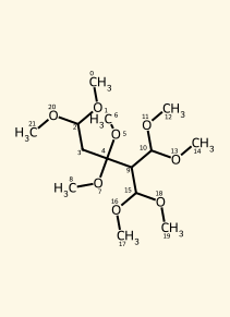 COC(CC(OC)(OC)C(C(OC)OC)C(OC)OC)OC